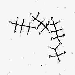 FC(OC(F)(F)C(F)(OC(F)(F)C(F)(OC(F)(F)C(F)(F)C(F)(F)F)C(F)(F)F)C(F)(F)F)C(F)(F)F